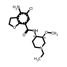 CCN1CC[C@@H](NC(=O)c2cc(Cl)c(N)c3c2OCC3)[C@@H](OC)C1